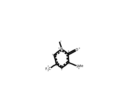 CSc1cc(C(F)(F)F)cn(C)c1=O